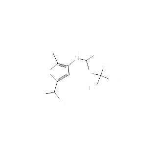 Cc1sc(C(C)C)cc1NC(O)OC(C)(C)C